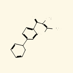 CSC(SC)=C(C#N)C(=O)c1ccc(C2C=CC=CC2)cc1